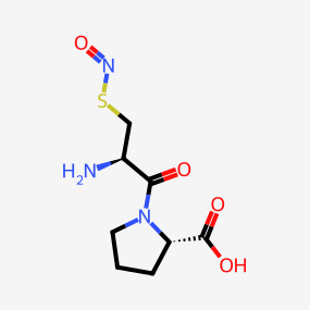 N[C@@H](CSN=O)C(=O)N1CCC[C@H]1C(=O)O